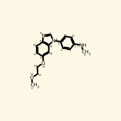 CNc1ccc(-n2cnc3ccc(OCCOC)cc32)cc1